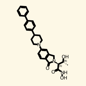 C[C@@H](O)[C@@H](C(=O)NO)N1Cc2cc(N3CCC(c4ccc(-c5ccccc5)cc4)CC3)ccc2C1=O